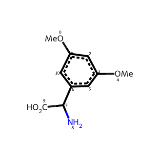 COc1cc(OC)cc(C(N)C(=O)O)c1